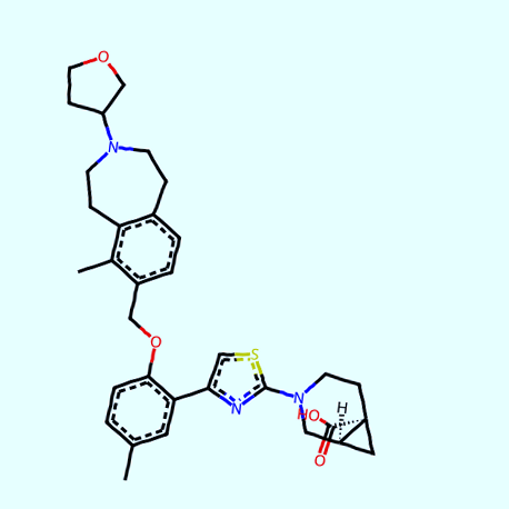 Cc1ccc(OCc2ccc3c(c2C)CCN(C2CCOC2)CC3)c(-c2csc(N3CC[C@@]4(C(=O)O)C[C@H]4C3)n2)c1